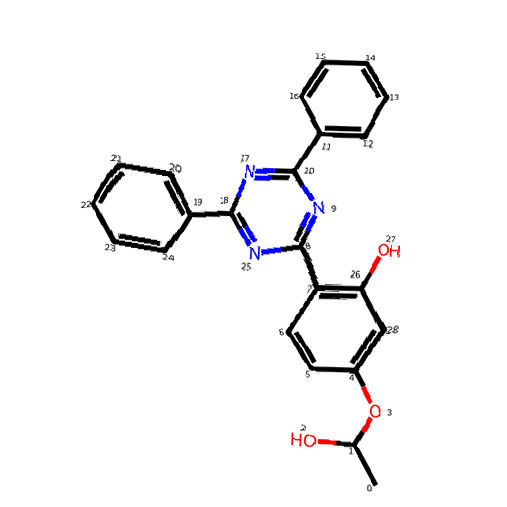 CC(O)Oc1ccc(-c2nc(-c3ccccc3)nc(-c3ccccc3)n2)c(O)c1